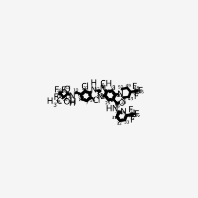 Cn1c(Nc2c(Cl)ccc(CNC(=O)[C@](C)(O)C(F)(F)F)c2Cl)nc2cc(C(=O)Nc3cccc(C(F)(F)F)n3)c(N3CCC(C(F)(F)F)CC3)cc21